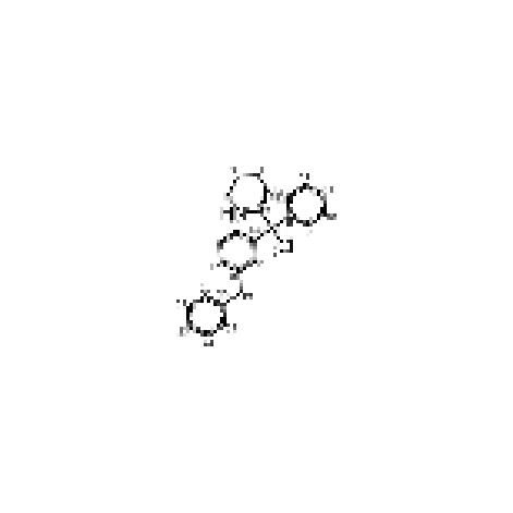 ClC(C1=NCCCN1)(c1ccccc1)c1cccc(Cc2ccccc2)c1